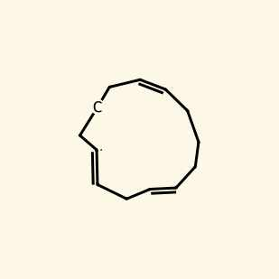 [C]1=C/C/C=C/CCC/C=C\CCC/1